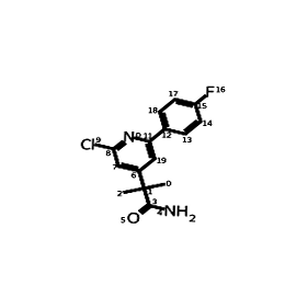 CC(C)(C(N)=O)c1cc(Cl)nc(-c2ccc(F)cc2)c1